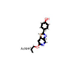 CC(=O)N[C@@H](C)COc1cc2sc(-c3ccc(O)cc3)nc2cn1